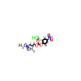 CN(C)CCCOC(=O)Oc1ccc([N+](=O)[O-])cc1.Cl